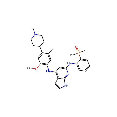 Cc1cc(Nc2cc(Nc3ccccc3[SH](C)(=O)C(C)C)nc3[nH]ccc23)c(OC(C)C)cc1C1CCN(C)CC1